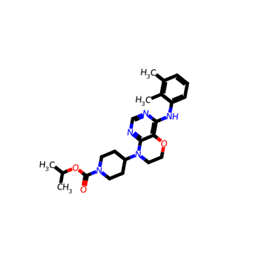 Cc1cccc(Nc2ncnc3c2OCCN3C2CCN(C(=O)OC(C)C)CC2)c1C